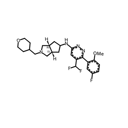 COc1ccc(F)cc1-c1nnc(NC2C[C@@H]3CN(CC4CCOCC4)C[C@@H]3C2)cc1C(F)F